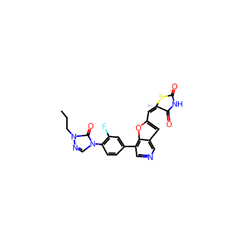 CCCn1ncn(-c2ccc(-c3cncc4cc(/C=C5/SC(=O)NC5=O)oc34)cc2F)c1=O